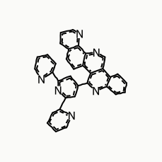 c1ccc(-c2cc(-c3nc4ccccc4c4cnc5c(ccc6cccnc65)c34)cc(-c3ccccn3)n2)nc1